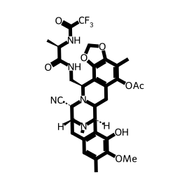 COc1c(C)cc2c(c1O)[C@@H]1C3Cc4c(OC(C)=O)c(C)c5c(c4[C@H](CNC(=O)[C@@H](C)NC(=O)C(F)(F)F)N3[C@@H](C#N)[C@@H](C2)N1C)OCO5